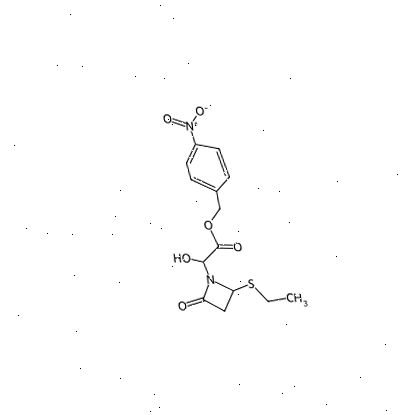 CCSC1CC(=O)N1C(O)C(=O)OCc1ccc([N+](=O)[O-])cc1